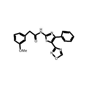 COc1cccc(CC(=O)Nc2nc(-c3ccccc3)c(-c3ncon3)s2)c1